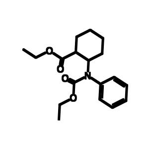 CCOC(=O)C1CCCCC1N(C(=O)OCC)c1ccccc1